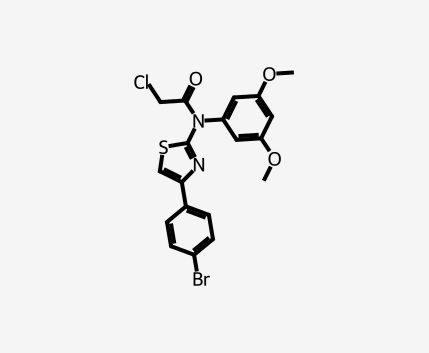 COc1cc(OC)cc(N(C(=O)CCl)c2nc(-c3ccc(Br)cc3)cs2)c1